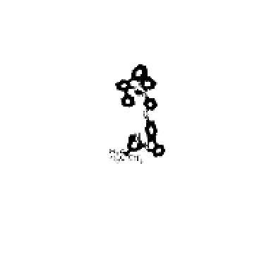 CC(C)(C)c1ccnc(N2Cc3ccccc3-c3ccc(Oc4cccc(-n5c[n+](-c6c(-c7ccccc7)cccc6-c6ccccc6)c6ccccc65)c4)cc32)c1